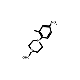 Cc1cc([N+](=O)[O-])ccc1N1CCN(C=O)CC1